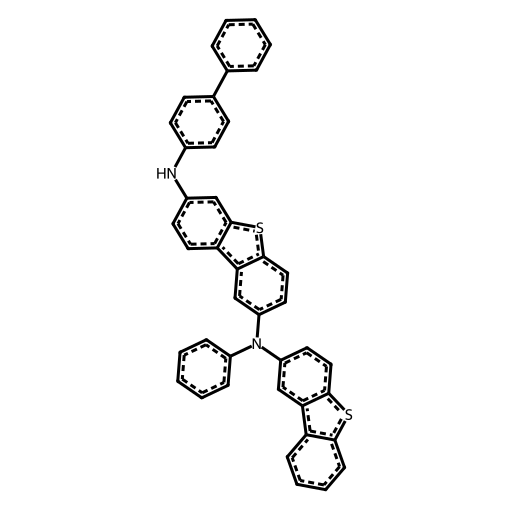 c1ccc(-c2ccc(Nc3ccc4c(c3)sc3ccc(N(c5ccccc5)c5ccc6sc7ccccc7c6c5)cc34)cc2)cc1